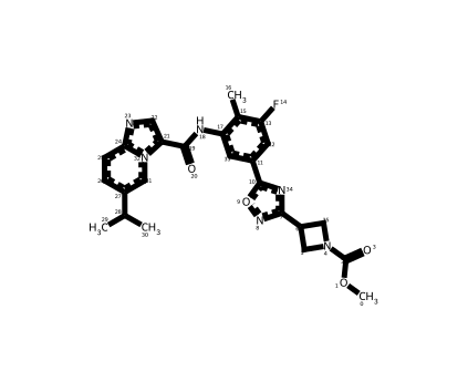 COC(=O)N1CC(c2noc(-c3cc(F)c(C)c(NC(=O)c4cnc5ccc(C(C)C)cn45)c3)n2)C1